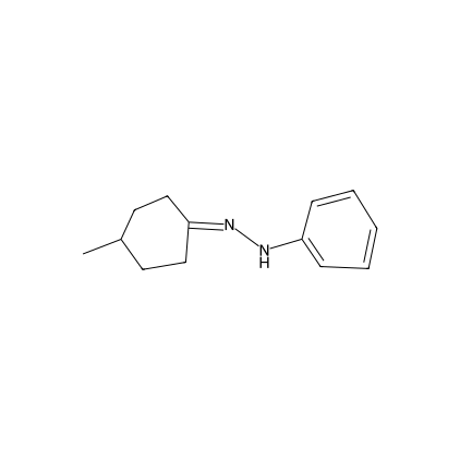 CC1CCC(=NNc2ccccc2)CC1